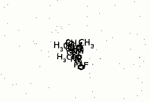 Cc1ccnc(C2(NC(=O)c3c(C)nc4c(OCc5c(F)cccc5F)cccn34)COC(C)(C)OC2)c1